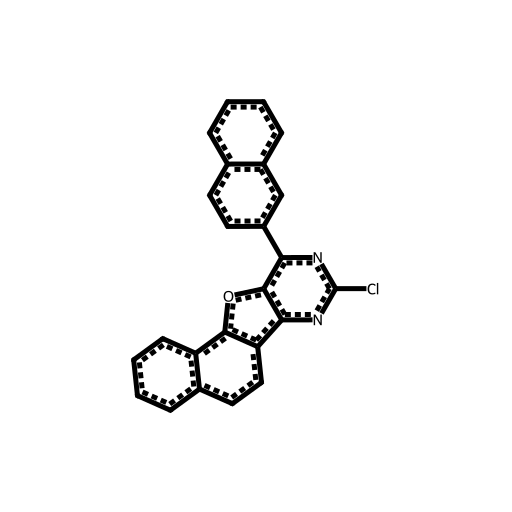 Clc1nc(-c2ccc3ccccc3c2)c2oc3c4ccccc4ccc3c2n1